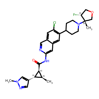 C[C@@H]1[C@H](C(=O)Nc2cc3cc(C4CCN([C@@]5(C)COC[C@H]5F)CC4)c(Cl)cc3cn2)[C@H]1c1cnn(C)c1